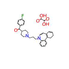 O=C(O)C(=O)O.O=C(c1ccc(F)cc1)C1CCN(CCCN2C=CC3=C(CCC=C3)c3ccccc32)CC1